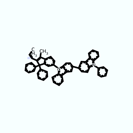 C/C=C\C1=C(C)c2ccc(-n3c4ccccc4c4cc(-c5ccc6c(c5)c5ccccc5n6-c5ccccc5)ccc43)cc2C1(c1ccccc1)c1ccccc1